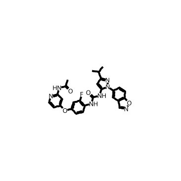 CC(=O)Nc1cc(Oc2ccc(NC(=O)Nc3cc(C(C)C)nn3-c3ccc4oncc4c3)c(F)c2)ccn1